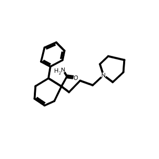 NC(=O)C1(CCCN2CCCCC2)CC=CCC1c1ccccc1